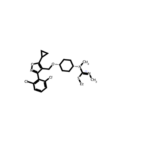 CCS/C(=N\C)N(C)[C@H]1CC[C@@H](OCc2c(-c3c(Cl)cccc3Cl)noc2C2CC2)CC1